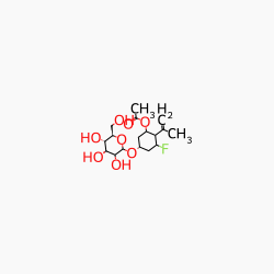 C=C(C)C1C(F)C[C@H](OC2O[C@H](CO)[C@@H](O)[C@H](O)C2O)CC1OC(C)=O